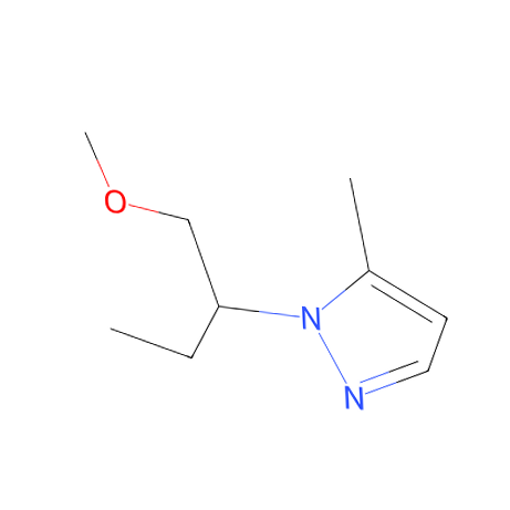 CCC(COC)n1nccc1C